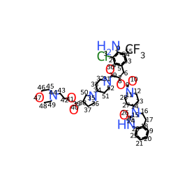 Nc1c(Cl)cc(C[C@@H](OC(=O)N2CCC(N3CCc4ccccc4NC3=O)CC2)C(=O)N2CCC(N3CC[C@H](C(=O)OCCN4CCOCC4)C3)CC2)cc1C(F)(F)F